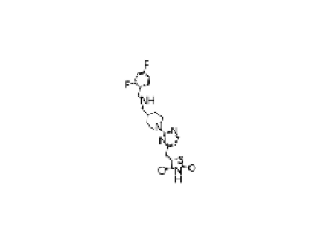 O=C1NC(=O)/C(=C/c2ccnc(N3CCC(CNCc4ccc(F)cc4F)CC3)n2)S1